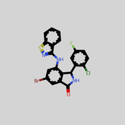 O=C1NC(c2cc(F)ccc2Cl)c2c(Nc3nsc4ccccc34)cc(Br)cc21